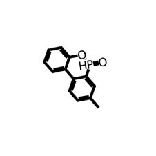 Cc1ccc2c(c1)[PH](=O)Oc1ccccc1-2